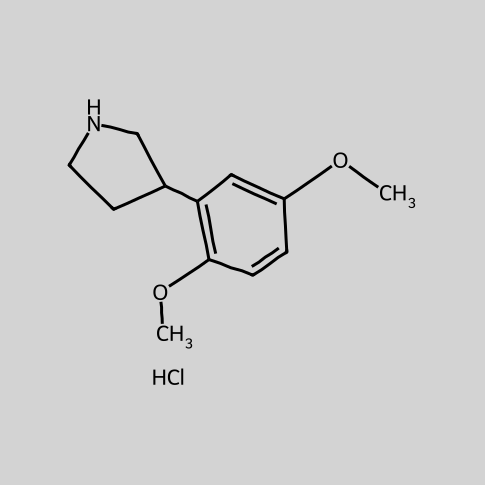 COc1ccc(OC)c(C2CCNC2)c1.Cl